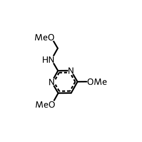 COCNc1nc(OC)cc(OC)n1